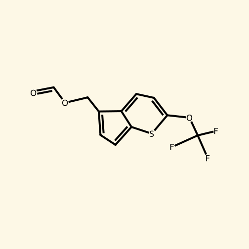 O=COCc1ccc2sc(OC(F)(F)F)ccc1-2